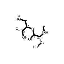 CN[C@H](CO)C(O)OC(CO)[C@@H](C)O